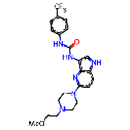 COCCN1CCN(c2ccc3[nH]cc(NC(=O)Nc4ccc(C(F)(F)F)cc4)c3n2)CC1